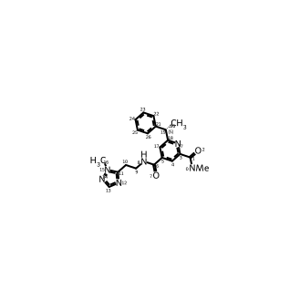 CNC(=O)c1cc(C(=O)NCCc2ncnn2C)cc([C@@H](C)c2ccccc2)n1